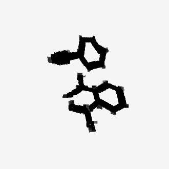 N#Cc1ccccc1.O=[N+]([O-])c1ccccc1[N+](=O)[O-]